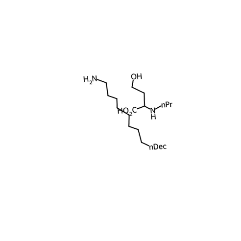 CCCCCCCCCCCCCCCCCCN.CCCNC(CCO)C(=O)O